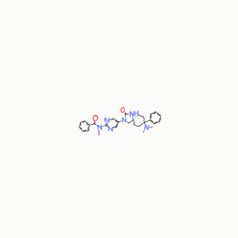 CN(C)[C@]1(c2ccccc2)CC[C@]2(CC1)CN(c1cnc(N(I)C(=O)c3ccccc3)nc1)C(=O)N2